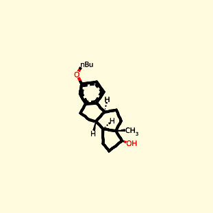 CCCCOc1ccc2c(c1)CC[C@@H]1[C@@H]2CC[C@]2(C)[C@@H](O)CC[C@@H]12